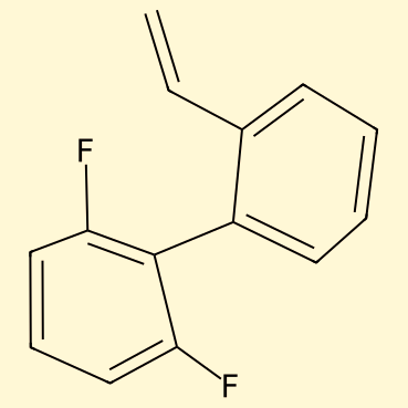 C=Cc1ccccc1-c1c(F)cccc1F